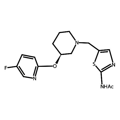 CC(=O)Nc1ncc(CN2CCC[C@H](Oc3ccc(F)cn3)C2)s1